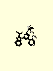 C[C@@H]1COCCN1c1cc(N=S(C)(C)=O)nc(-n2c(C(F)F)nc3ccccc32)c1